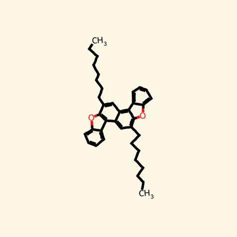 CCCCCCCCc1cc2c(cc(CCCCCCCC)c3oc4ccccc4c32)c2c1oc1ccccc12